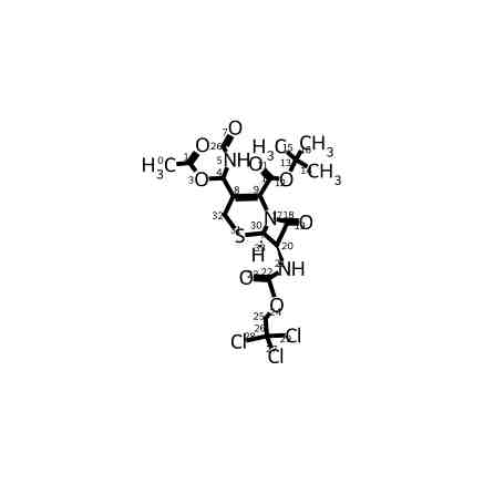 CC(=O)OC(NC=O)C1=C(C(=O)OC(C)(C)C)N2C(=O)[C@@H](NC(=O)OCC(Cl)(Cl)Cl)[C@H]2SC1